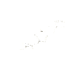 CC(C)(C)[Si](C)(C)Oc1ccc(OBO)cc1